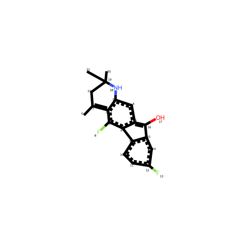 CC1=c2c(cc3c(c2F)-c2ccc(F)cc2C=3O)NC(C)(C)C1